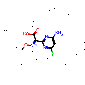 CO/N=C(\C(=O)O)c1nc(N)cc(Cl)n1